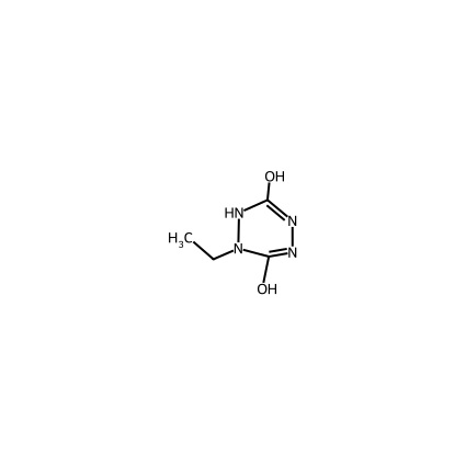 CCN1NC(O)=NN=C1O